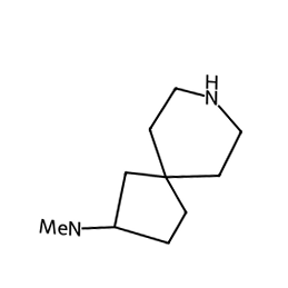 CNC1CCC2(CCNCC2)C1